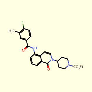 CCOC(=O)N1CCC(n2ccc3c(NC(=O)c4ccc(Cl)c(C)c4)cccc3c2=O)CC1